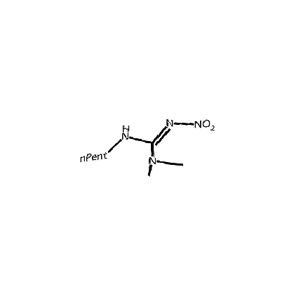 CCCCCN/C(=N/[N+](=O)[O-])N(C)C